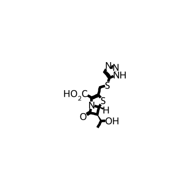 CC(O)[C@H]1C(=O)N2C(C(=O)O)=C(CSc3cnn[nH]3)S[C@H]12